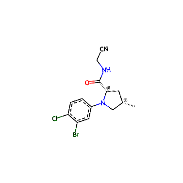 C[C@H]1C[C@@H](C(=O)NCC#N)N(c2ccc(Cl)c(Br)c2)C1